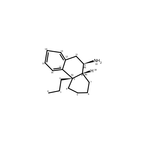 CCC[C@]12CCCC[C@H]1[C@H](N)Cc1ccccc12